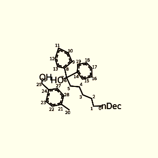 CCCCCCCCCCCCCCCC(O)(c1ccccc1)c1ccccc1.Cc1ccc(CO)cc1